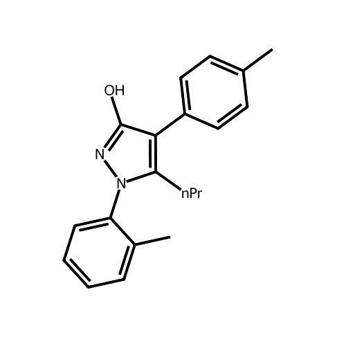 CCCc1c(-c2ccc(C)cc2)c(O)nn1-c1ccccc1C